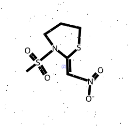 CS(=O)(=O)N1CCCS/C1=C\[N+](=O)[O-]